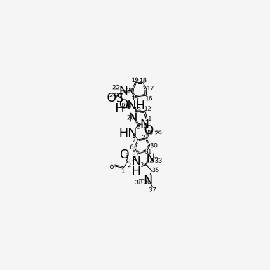 C=CC(=O)Nc1cc(Nc2nccc(Nc3ccccc3N(C)[SH](=O)=O)n2)c(OC)cc1N(C)CCN(C)C